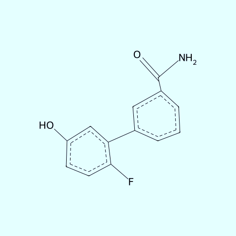 NC(=O)c1cccc(-c2cc(O)ccc2F)c1